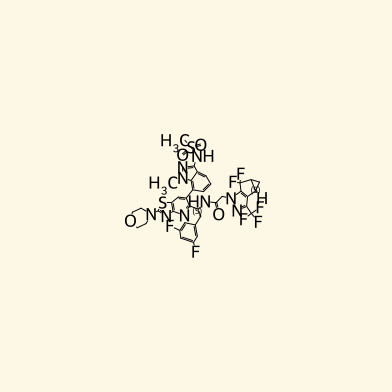 Cn1nc(NS(C)(=O)=O)c2cccc(-c3cc4sc(N5CCOCC5)nc4nc3[C@H](Cc3cc(F)cc(F)c3)NC(=O)Cn3nc(C(F)(F)F)c4c3C(F)(F)C3C[C@H]43)c21